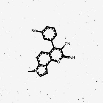 Cn1ccc2c3oc(=N)c(C#N)c(-c4cccc(Br)c4)c3ccc21